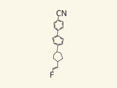 N#Cc1ccc(-c2ccc(C3CCC(C=CF)CC3)cc2)cc1